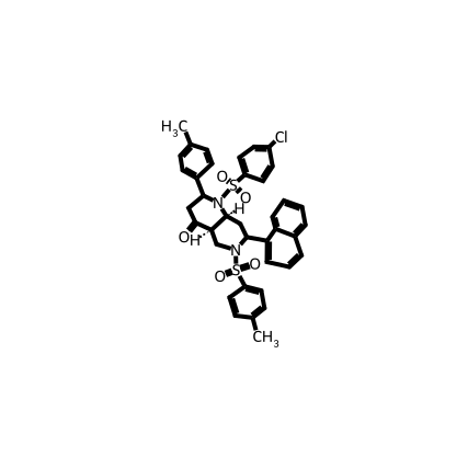 Cc1ccc(C2CC(=O)[C@@H]3CN(S(=O)(=O)c4ccc(C)cc4)C(c4cccc5ccccc45)C[C@@H]3N2S(=O)(=O)c2ccc(Cl)cc2)cc1